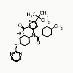 CC(C)(C)c1cc(N(C(=O)[C@H]2CC[C@H](C)CC2)[C@H]2CC[C@H](Sc3ncccn3)CC2)c(C(=O)O)s1